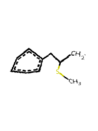 [CH2]C(Cc1ccccc1)SC